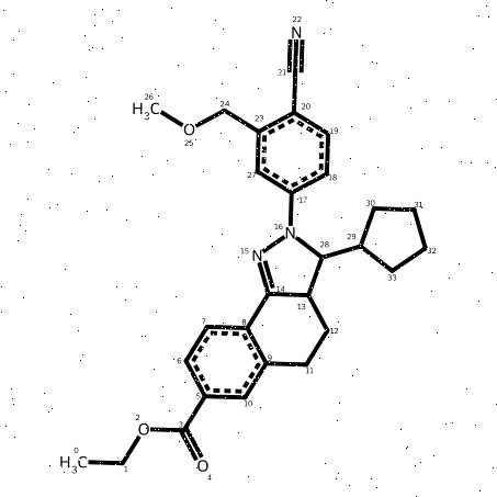 CCOC(=O)c1ccc2c(c1)CCC1C2=NN(c2ccc(C#N)c(COC)c2)C1C1CCCC1